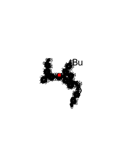 C=Cc1ccc(-c2ccc(OCC[Si](C)(C)CCCC3(c4ccccc4)c4ccccc4-c4ccc(N(c5ccc(-c6ccc(C(C)(C)C)cc6)cc5)c5ccc(-c6ccc7c(c6)c6cc(-c8ccc(C=C)cc8)ccc6n7-c6ccccc6)cc5)cc43)cc2)cc1